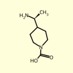 C[C@H](N)C1CCN(C(=O)O)CC1